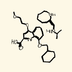 CC(C)NCC1CCCCN1.COCCOc1cc(C(=O)O)nc2c(OCC3CCCCC3)cccc12